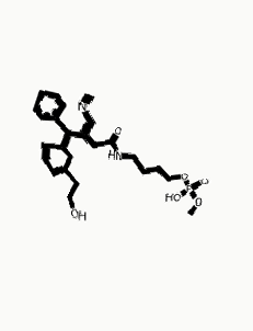 C=N/C=C(CC(=O)NCCCCOP(=O)(O)OC)\C(=C1\C=CC=C(CCO)C1)c1ccccc1